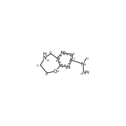 CCCN(C)c1cnc2c(n1)OCCNC2